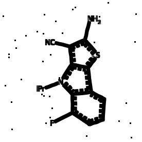 CC(C)n1c2c(F)cccc2c2sc(N)c(C#N)c21